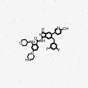 O=C(Nc1n[nH]c2cc(-c3ccc(O)nc3)c(Cc3cc(F)cc(F)c3)cc12)c1ccc(N2CCNCC2)cc1NC1CCOCC1